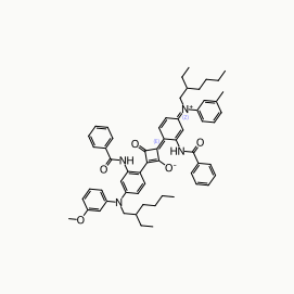 CCCCC(CC)CN(c1cccc(OC)c1)c1ccc(C2=C([O-])/C(=C3C=C/C(=[N+](\CC(CC)CCCC)c4cccc(C)c4)C=C/3NC(=O)c3ccccc3)C2=O)c(NC(=O)c2ccccc2)c1